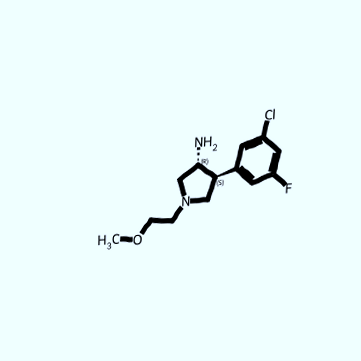 COCCN1C[C@H](c2cc(F)cc(Cl)c2)[C@@H](N)C1